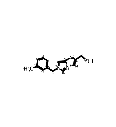 [CH2]c1cccc(Cn2cc3sc(CO)c[n+]3c2)c1